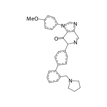 COc1ccc(-n2cnc3c2C(=O)C(c2ccc(-c4ccccc4CN4CCCC4)cc2)N=C3)cc1